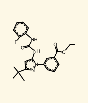 CCOC(=O)c1cccc(-n2nc(C(C)(C)C)cc2NC(=O)Nc2ccccc2F)c1